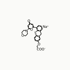 O=C([O-])COc1ccc2c(c1)Cc1cccc(-c3cc(=O)cc(N4CCOCC4)o3)c1S2.[Na+]